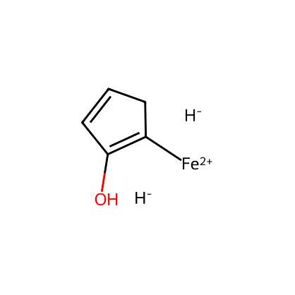 OC1=[C]([Fe+2])CC=C1.[H-].[H-]